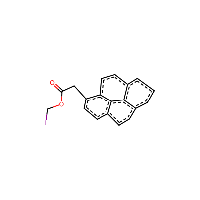 O=C(Cc1ccc2ccc3cccc4ccc1c2c34)OCI